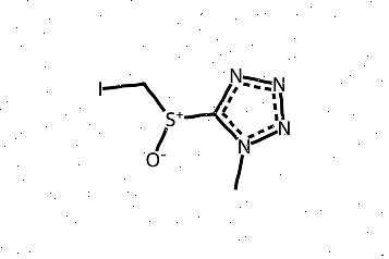 Cn1nnnc1[S+]([O-])CI